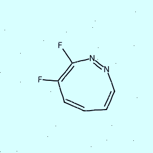 FC1=C(F)N=NC=CC=C1